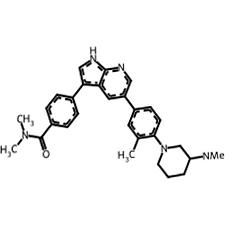 CNC1CCCN(c2ccc(-c3cnc4[nH]cc(-c5ccc(C(=O)N(C)C)cc5)c4c3)cc2C)C1